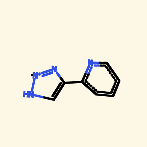 C1=C(c2ccccn2)N=[N+]N1